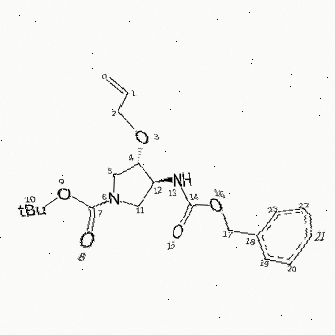 C=CCO[C@H]1CN(C(=O)OC(C)(C)C)C[C@@H]1NC(=O)OCc1ccccc1